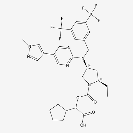 CC[C@@H]1C[C@H](N(Cc2cc(C(F)(F)F)cc(C(F)(F)F)c2)c2ncc(-c3cnn(C)c3)cn2)CN1C(=O)OC(C(=O)O)C1CCCC1